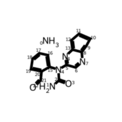 N.NC(=O)N(c1cnc2ccccc2n1)c1ccccc1C=O